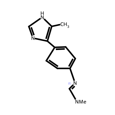 CN/C=N/c1ccc(-c2nc[nH]c2C)cc1